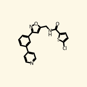 O=C(NCc1cc(-c2cccc(-c3ccncc3)c2)no1)c1ccc(Cl)s1